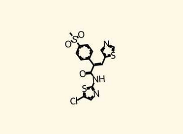 CS(=O)(=O)c1ccc(/C(=C\c2cncs2)C(=O)Nc2ncc(Cl)s2)cc1